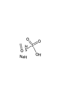 C=O.O=S(=O)(O)S.[NaH]